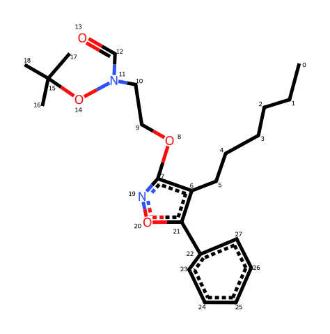 CCCCCCc1c(OCCN(C=O)OC(C)(C)C)noc1-c1ccccc1